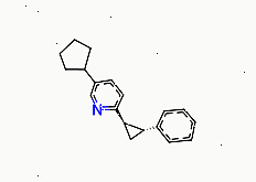 c1ccc([C@@H]2C[C@H]2c2ccc(C3CCCC3)cn2)cc1